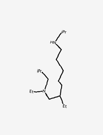 CCC(CCCCCNC(C)C)CN(CC)CC(C)C